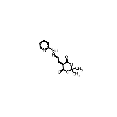 CC1(C)OC(=O)C(=C/C=N/Nc2ccccn2)C(=O)O1